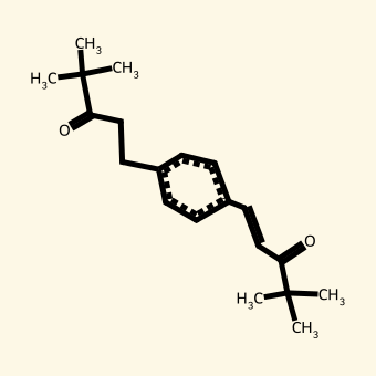 CC(C)(C)C(=O)/C=C/c1ccc(CCC(=O)C(C)(C)C)cc1